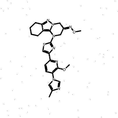 CO/N=C1\CN(c2nc(-c3ccc(-n4cnc(C)c4)c(OC)n3)cs2)c2c3c(nn2C1)CCCC3